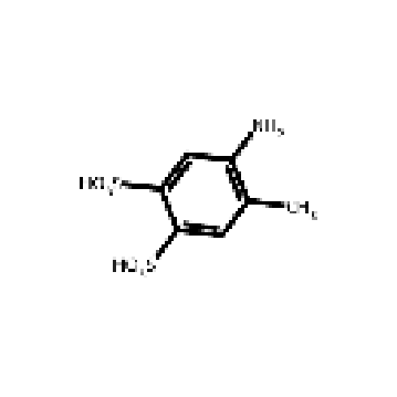 Cc1cc(S(=O)(=O)O)c(S(=O)(=O)O)cc1N